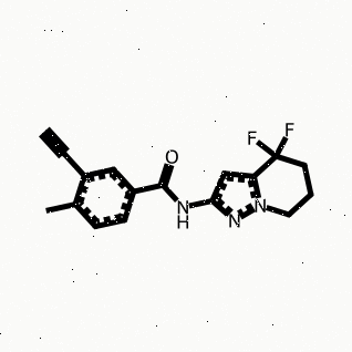 C#Cc1cc(C(=O)Nc2cc3n(n2)CCCC3(F)F)ccc1C